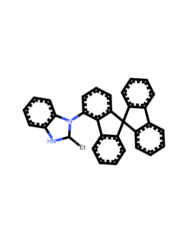 CCC1Nc2ccccc2N1c1cccc2c1-c1ccccc1C21c2ccccc2-c2ccccc21